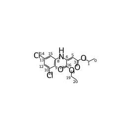 CCOC(=O)/C=C(/Nc1cc(Cl)cc(Cl)c1)C(=O)OCC